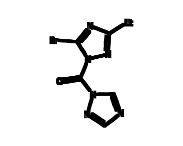 CCc1nc(Br)n(C(=O)n2cncn2)n1